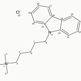 C[N+](C)(C)CCCCCn1c2ccccc2c2ccccc21.[Cl-]